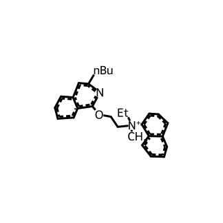 CCCCc1cc2ccccc2c(OCC[N+](C)(CC)c2cccc3ccccc23)n1